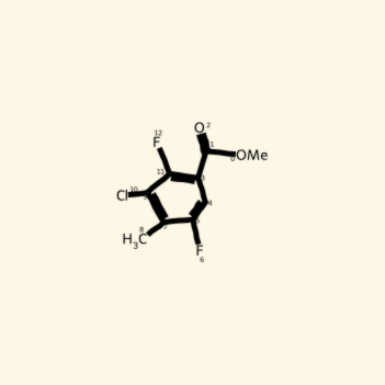 COC(=O)c1cc(F)c(C)c(Cl)c1F